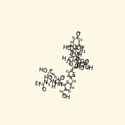 CCC(=O)NCC(=O)N[C@@H](CCC(=O)O)C(=O)Nc1cc(Cc2ccc([C@@H]3O[C@@H]4C[C@H]5[C@@H]6CCC7=CC(=O)C=C[C@]7(C)[C@H]6[C@@H](O)C[C@]5(C)[C@]4(C(=O)COP(=O)(O)O)O3)s2)ccc1CO